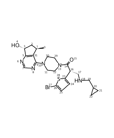 C[C@@H]1C[C@@H](O)c2ncnc(N3CCN(C(=O)[C@H](CNCC4CC4)c4ccc(Br)s4)CC3)c21